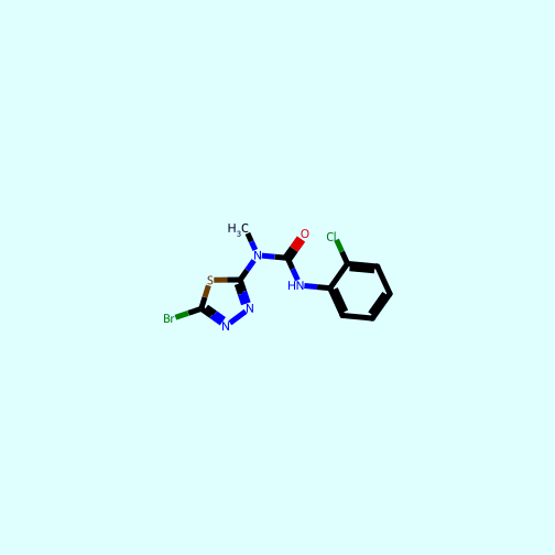 CN(C(=O)Nc1ccccc1Cl)c1nnc(Br)s1